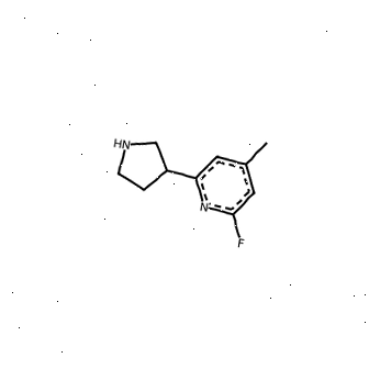 Cc1cc(F)nc(C2CCNC2)c1